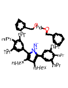 CCCCCCC1=C(c2cc(CCC)c(CCC)c(CCC)c2)[N+](=[N-])C(c2cc(CCC)c(CCC)c(CCC)c2)=C1CCCCCC.c1ccc(C[O][Pd][O]Cc2ccccc2)cc1